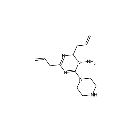 C=CCC1=NC(CC=C)N(N)C(N2CCNCC2)=N1